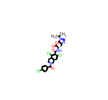 CC(C)n1cc(C[C@H](NC(=O)c2c(Cl)cc3c(c2Cl)CCN(C(=O)c2ccc(Cl)cc2)C3)C(=O)O)nn1